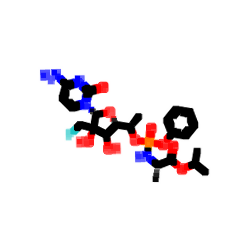 CC(C)OC(=O)[C@H](C)NP(=O)(Oc1ccccc1)O[C@H](C)[C@H]1O[C@@H](n2ccc(N)nc2=O)[C@@](O)(CF)C1O